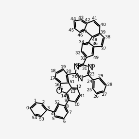 c1ccc(-c2cccc(-c3cccc4c3oc3cccc(-c5nc(-c6ccccc6)nc(-c6ccc7c(ccc8ccc9ccccc9c87)c6)n5)c34)c2)cc1